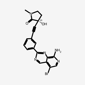 CN1CC[C@@](O)(C#Cc2cccc(-c3ncc4c(Br)cnc(N)c4n3)c2)C1=O